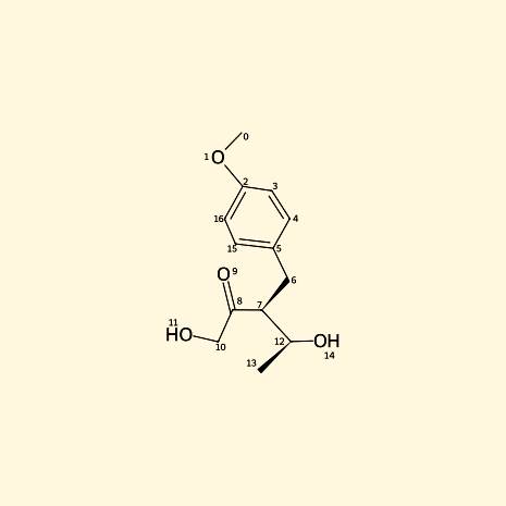 COc1ccc(C[C@H](C(=O)CO)[C@H](C)O)cc1